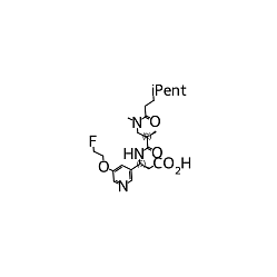 CCCC(C)CCC(=O)N(C)C[C@@H](C)C(=O)N[C@@H](CC(=O)O)c1cncc(OCCF)c1